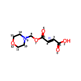 O=C(O)/C=C/C(=O)OCN1CCOCC1